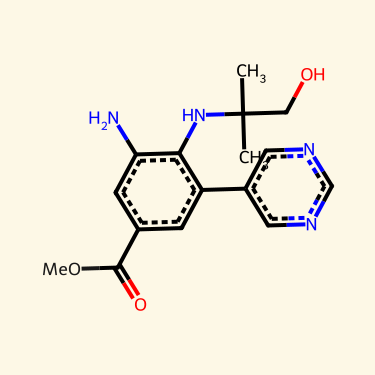 COC(=O)c1cc(N)c(NC(C)(C)CO)c(-c2cncnc2)c1